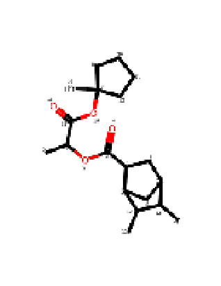 CC(OC(=O)C1CC2CC1C(C)C2C)C(=O)OC1(C(C)C)CCCC1